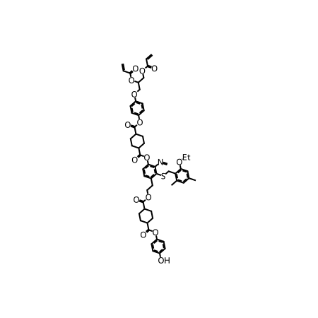 C=CC(=O)OCC(COc1ccc(OC(=O)C2CCC(C(=O)Oc3ccc(CCOC(=O)C4CCC(C(=O)Oc5ccc(O)cc5)CC4)c(SCc4c(C)cc(C)cc4OCC)c3N=C)CC2)cc1)OC(=O)C=C